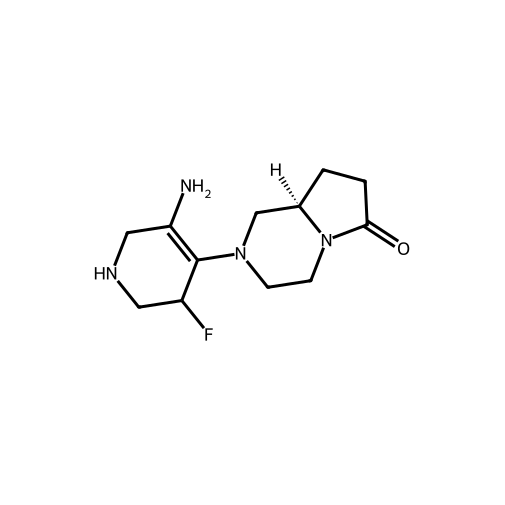 NC1=C(N2CCN3C(=O)CC[C@@H]3C2)C(F)CNC1